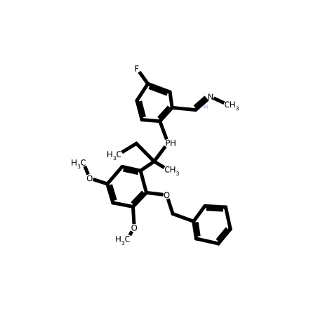 CCC(C)(Pc1ccc(F)cc1/C=N/C)c1cc(OC)cc(OC)c1OCc1ccccc1